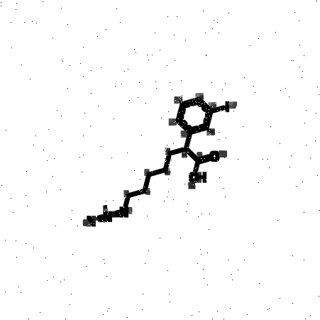 [N-]=[N+]=NCCCCCC(C(=O)O)c1cccc(I)c1